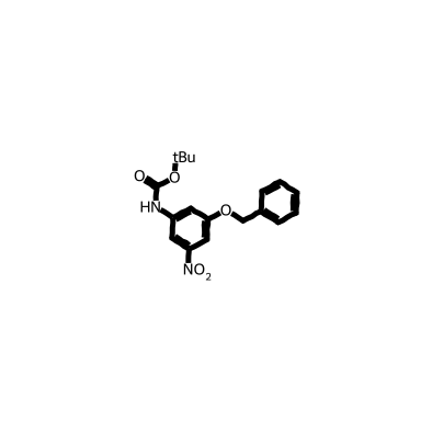 CC(C)(C)OC(=O)Nc1cc(OCc2ccccc2)cc([N+](=O)[O-])c1